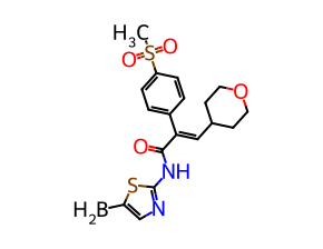 Bc1cnc(NC(=O)/C(=C/C2CCOCC2)c2ccc(S(C)(=O)=O)cc2)s1